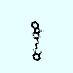 Fc1ccccc1OCCSc1nnc2c(n1)[nH]c1ccccc12